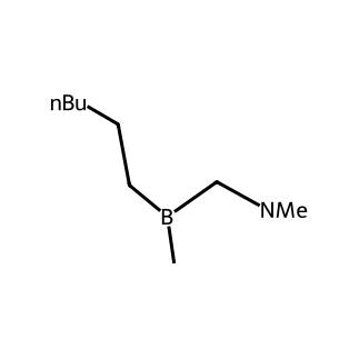 CCCCCCB(C)CNC